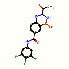 CC(O)C1Nc2ccc(C(=O)Nc3cc(F)c(F)c(F)c3)cc2[S+]([O-])N1